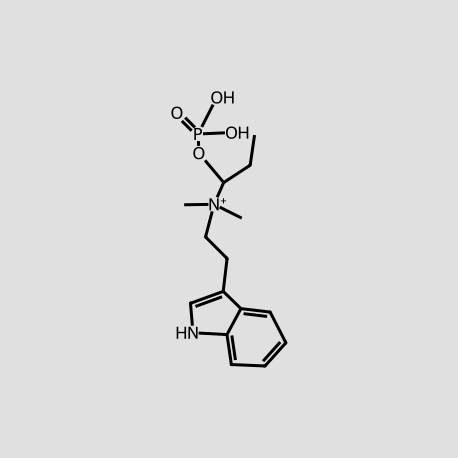 CCC(OP(=O)(O)O)[N+](C)(C)CCc1c[nH]c2ccccc12